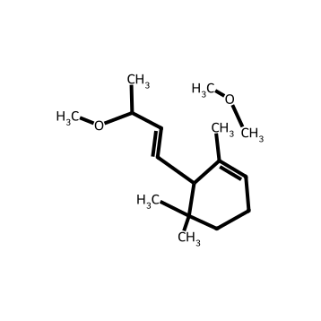 COC.COC(C)/C=C/C1C(C)=CCCC1(C)C